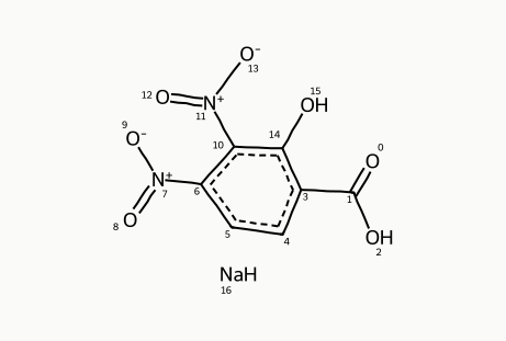 O=C(O)c1ccc([N+](=O)[O-])c([N+](=O)[O-])c1O.[NaH]